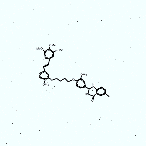 COc1cc(C2NC(=O)c3cc(C)ccc3N2)ccc1OCCCCOc1cc(C=Cc2cc(OC)c(OC)c(OC)c2)ccc1OC